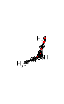 CCCCCCCCCOC(=O)CCCCCOP1CC(COC)(COC(=O)CCCCCC(=O)OCCCCCCCCC)C1